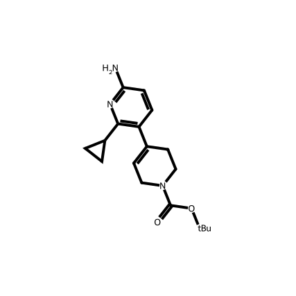 CC(C)(C)OC(=O)N1CC=C(c2ccc(N)nc2C2CC2)CC1